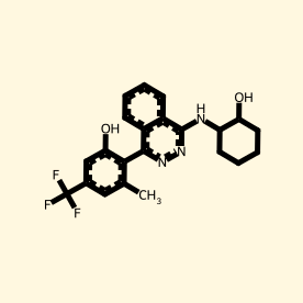 Cc1cc(C(F)(F)F)cc(O)c1-c1nnc(NC2CCCCC2O)c2ccccc12